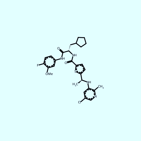 COc1cc(NC(=O)[C@H](CC2CCCC2)NC(=O)c2ccc([C@H](C)Nc3cc(Cl)cnc3C)s2)ccc1F